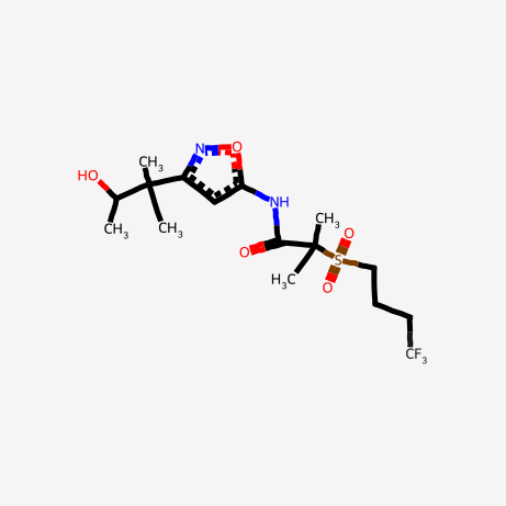 CC(O)C(C)(C)c1cc(NC(=O)C(C)(C)S(=O)(=O)CCCC(F)(F)F)on1